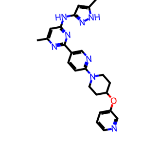 Cc1cc(Nc2cc(C)[nH]n2)nc(-c2ccc(N3CCC(Oc4cccnc4)CC3)nc2)n1